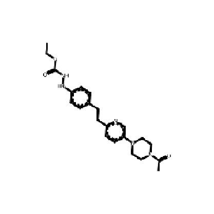 CCOC(=O)NNc1ccc(CCc2ccc(N3CCN(C(C)=O)CC3)cn2)cc1